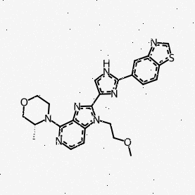 COCCn1c(-c2c[nH]c(-c3ccc4scnc4c3)n2)nc2c(N3CCOC[C@H]3C)nccc21